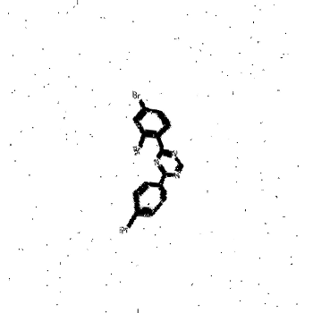 CC(C)c1ccc(-c2ncnc(-c3ccc(Br)cc3Br)n2)cc1